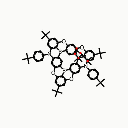 CC(C)(C)c1ccc(N2c3cc4c(cc3B3c5cc(C(C)(C)C)ccc5Oc5cc(C(C)(C)C)cc2c53)B2c3cc5c(cc3Oc3cc(C(C)(C)C)cc(c32)O4)N(c2ccc(C(C)(C)C)cc2)c2cc(C(C)(C)C)cc3c2B5c2cc(C(C)(C)C)ccc2O3)cc1